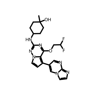 CC1(O)CCC(Nc2nc(OCC(F)F)c3c(-c4cnc5nccn5c4)ccn3n2)CC1